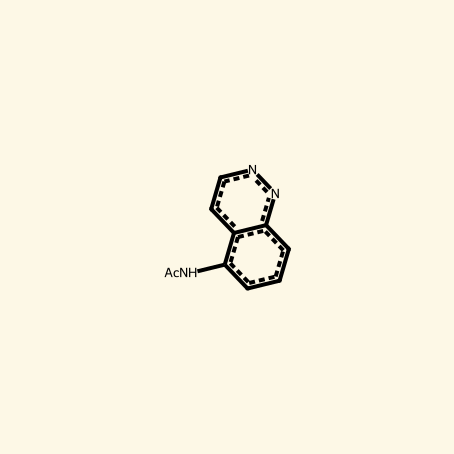 CC(=O)Nc1cccc2nnccc12